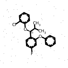 CC(C)[C@H](Oc1ccccc1Cl)c1ccc(F)cc1Oc1ccccc1